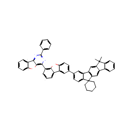 CC1(C)c2ccccc2-c2cc3c(cc21)-c1cc(-c2ccc4oc5c(-c6nc(-c7ccccc7)nc7c6oc6ccccc67)cccc5c4c2)ccc1C31CCCCC1